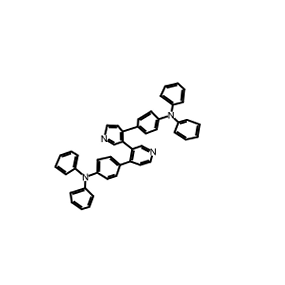 c1ccc(N(c2ccccc2)c2ccc(-c3ccncc3-c3cnccc3-c3ccc(N(c4ccccc4)c4ccccc4)cc3)cc2)cc1